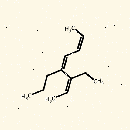 C\C=C/C=C(CCC)\C(=C/C)CC